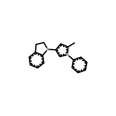 Cc1cc(N2CCc3ccccc32)cn1-c1ccccc1